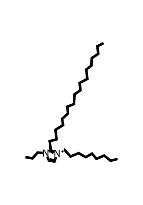 CCCCCCCCCCCCCCCCCCc1n(CCC)cc[n+]1CCCCCCCCC